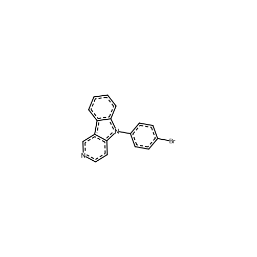 Brc1ccc(-n2c3ccccc3c3cnccc32)cc1